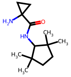 CC1(C)CCC(C)(C)C1NC(=O)C1(N)CC1